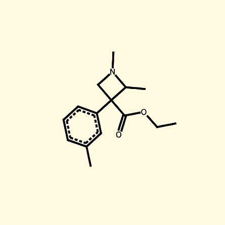 CCOC(=O)C1(c2cccc(C)c2)CN(C)C1C